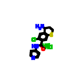 Cl.Cl.NC1CCSc2cc(C(=O)Nc3ccncc3)c(Cl)cc21